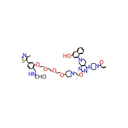 C=CC(=O)N1CCN(c2nc(O[C@H](C)CN3CCC(OCCOCCOCCOc4cc(-c5scnc5C)ccc4CNC=O)CC3)nc3c2CCN(c2cc(O)cc4ccccc24)C3)CC1